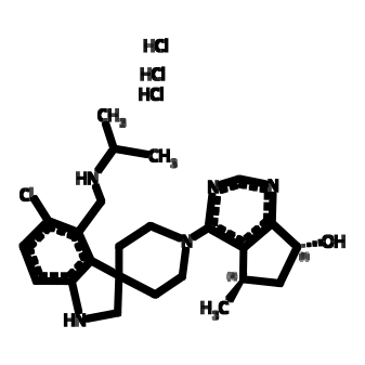 CC(C)NCc1c(Cl)ccc2c1C1(CCN(c3ncnc4c3[C@H](C)C[C@H]4O)CC1)CN2.Cl.Cl.Cl